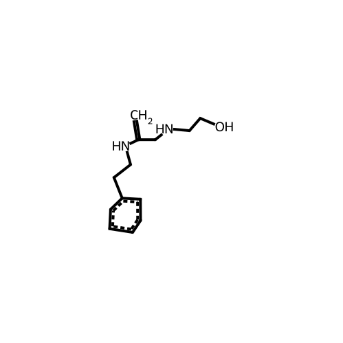 C=C(CNCCO)NCCc1ccccc1